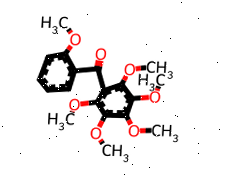 COc1ccccc1C(=O)c1c(OC)c(OC)c(OC)c(OC)c1OC